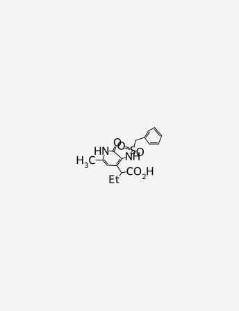 CCC(C(=O)O)c1cc(C)[nH]c(=O)c1NS(=O)(=O)Cc1ccccc1